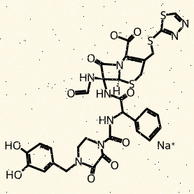 O=CN[C@@]1(NC(=O)C(NC(=O)N2CCN(Cc3ccc(O)c(O)c3)C(=O)C2=O)c2ccccc2)C(=O)N2C(C(=O)[O-])=C(CSc3nncs3)CS[C@H]21.[Na+]